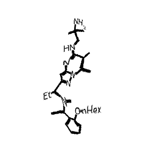 C=C(c1ccccc1OCCCCCC)N(C)C(CC)c1cc2nc(NCC(C)(C)N)c(C)c(C)n2n1